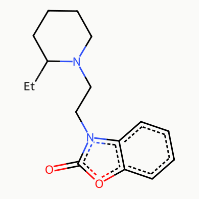 CCC1CCCCN1CCn1c(=O)oc2ccccc21